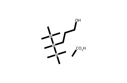 CC(=O)O.C[Si](C)(C)[Si](C)(CCCO)[Si](C)(C)C